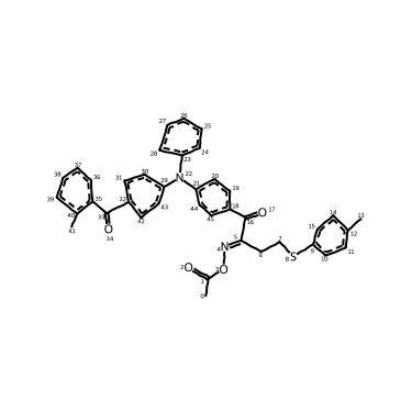 CC(=O)O/N=C(\CCSc1ccc(C)cc1)C(=O)c1ccc(N(c2ccccc2)c2ccc(C(=O)c3ccccc3C)cc2)cc1